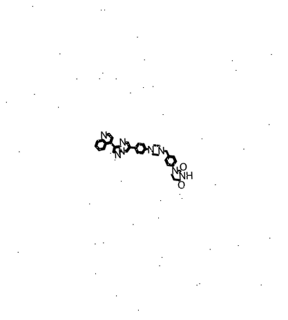 O=C1CCN(c2ccc(CN3CCN(c4ccc(-c5cnc6c(-c7ccnc8ccccc78)cnn6c5)cc4)CC3)cc2)C(=O)N1